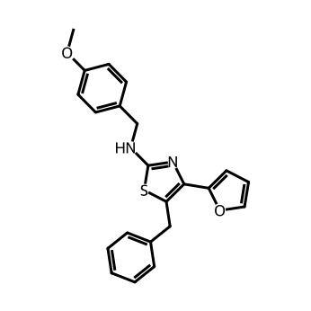 COc1ccc(CNc2nc(-c3ccco3)c(Cc3ccccc3)s2)cc1